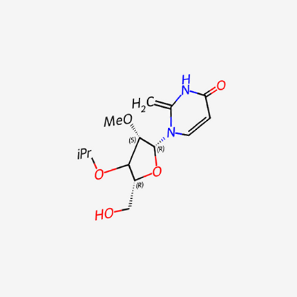 C=C1NC(=O)C=CN1[C@@H]1O[C@H](CO)C(OC(C)C)[C@@H]1OC